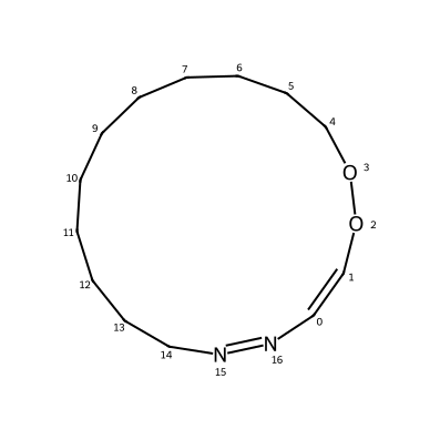 C1=COOCCCCCCCCCCCN=N1